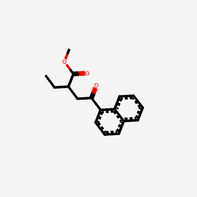 CCC(CC(=O)c1cccc2ccccc12)C(=O)OC